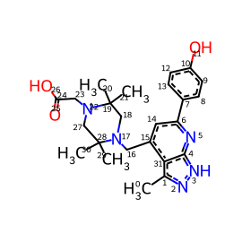 Cc1n[nH]c2nc(-c3ccc(O)cc3)cc(CN3CC(C)(C)N(CC(=O)O)CC3(C)C)c12